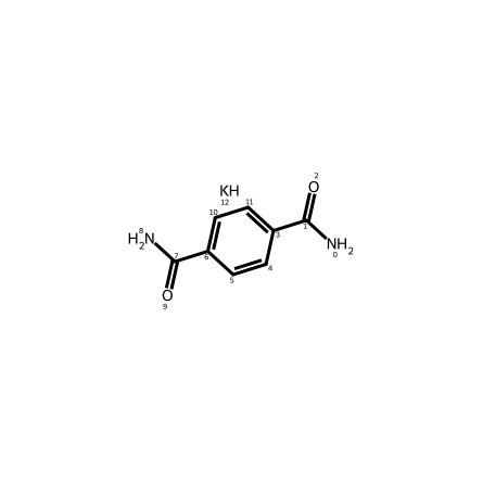 NC(=O)c1ccc(C(N)=O)cc1.[KH]